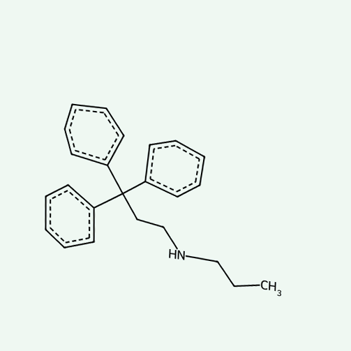 CCCNCCC(c1ccccc1)(c1ccccc1)c1ccccc1